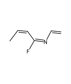 C=C/N=C(F)\C=C/C